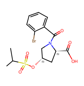 CC(C)S(=O)(=O)O[C@H]1C[C@@H](C(=O)O)N(C(=O)c2ccccc2Br)C1